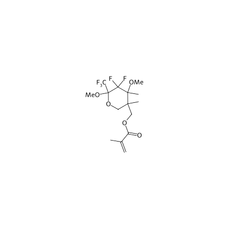 C=C(C)C(=O)OCC1(C)COC(OC)(C(F)(F)F)C(F)(F)C1(C)OC